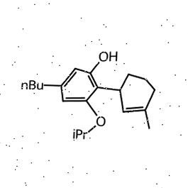 CCCCc1cc(O)c(C2C=C(C)CCC2)c(OC(C)C)c1